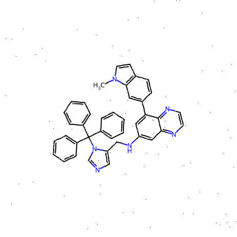 Cn1ccc2ccc(-c3cc(NCc4cncn4C(c4ccccc4)(c4ccccc4)c4ccccc4)cc4nccnc34)cc21